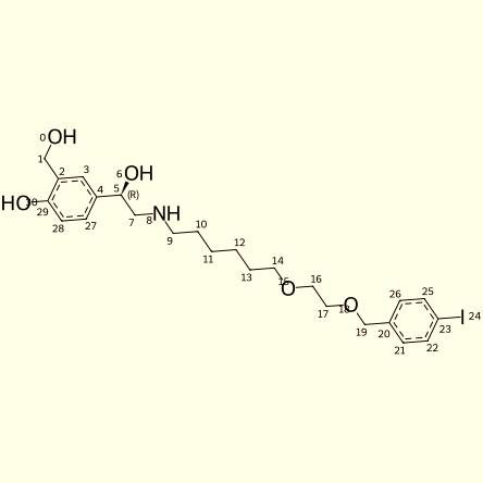 OCc1cc([C@@H](O)CNCCCCCCOCCOCc2ccc(I)cc2)ccc1O